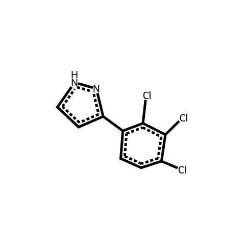 Clc1ccc(-c2cc[nH]n2)c(Cl)c1Cl